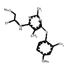 CCC(COC)Nc1nc(C)nc(Oc2ccc(OC)cc2C)c1C